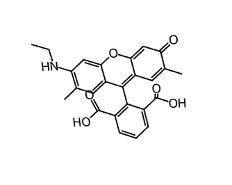 CCNc1cc2oc3cc(=O)c(C)cc-3c(-c3c(C(=O)O)cccc3C(=O)O)c2cc1C